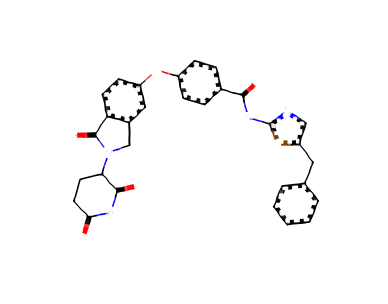 O=C1CCC(N2Cc3cc(Oc4ccc(C(=O)Nc5ncc(Cc6ccccc6)s5)cc4)ccc3C2=O)C(=O)N1